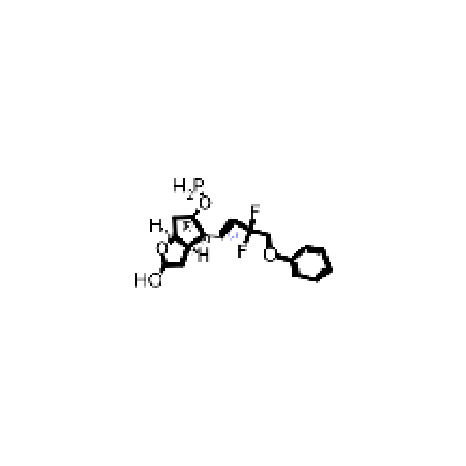 OC1C[C@@H]2[C@@H](/C=C/C(F)(F)COc3ccccc3)[C@H](OP)C[C@@H]2O1